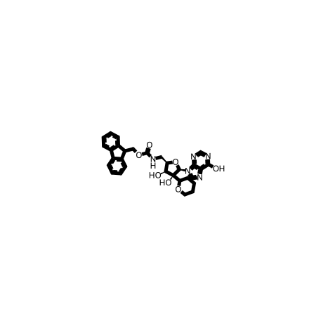 O=C(NC[C@H]1O[C@@H](n2cnc3c(O)ncnc32)[C@@](O)(C2CCCCO2)[C@@H]1O)OCC1c2ccccc2-c2ccccc21